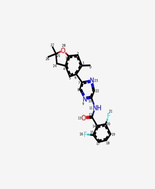 Cc1cc2c(cc1-c1cnc(NC(=O)c3c(F)cccc3F)cn1)CC(C)(C)O2